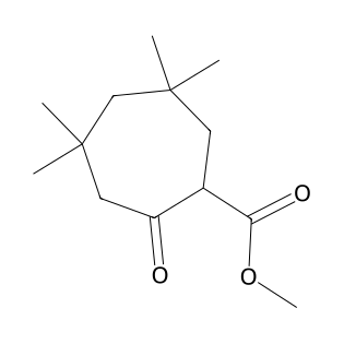 COC(=O)C1CC(C)(C)CC(C)(C)CC1=O